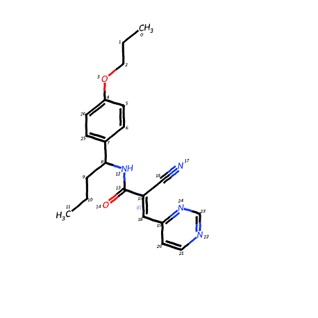 CCCOc1ccc(C(CCC)NC(=O)/C(C#N)=C/c2ccncn2)cc1